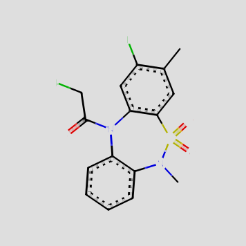 Cc1cc2c(cc1Cl)N(C(=O)CCl)c1ccccc1N(C)S2(=O)=O